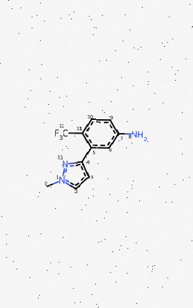 Cn1ccc(-c2cc(N)ccc2C(F)(F)F)n1